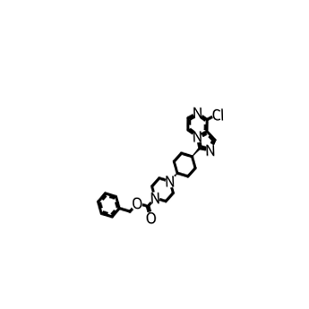 O=C(OCc1ccccc1)N1CCN([C@H]2CC[C@H](c3ncc4c(Cl)nccn43)CC2)CC1